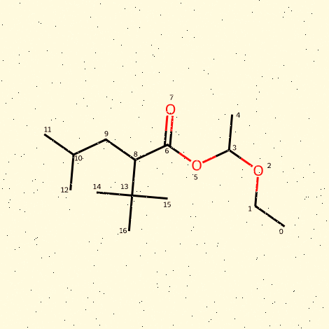 CCOC(C)OC(=O)C(CC(C)C)C(C)(C)C